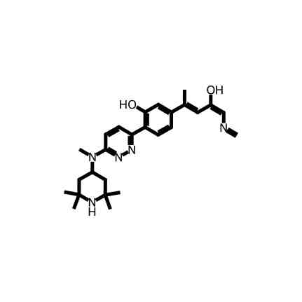 C=N/C=C(O)\C=C(/C)c1ccc(-c2ccc(N(C)C3CC(C)(C)NC(C)(C)C3)nn2)c(O)c1